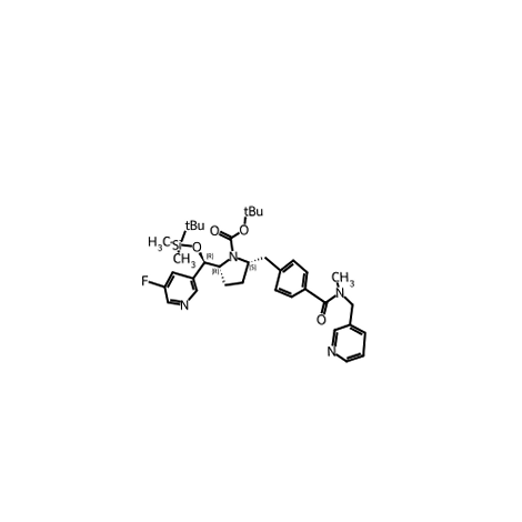 CN(Cc1cccnc1)C(=O)c1ccc(C[C@@H]2CC[C@H]([C@H](O[Si](C)(C)C(C)(C)C)c3cncc(F)c3)N2C(=O)OC(C)(C)C)cc1